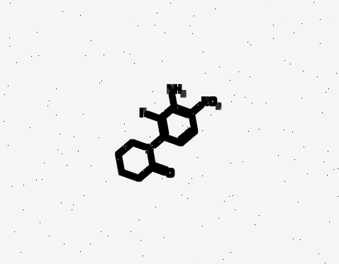 Nc1c([N+](=O)[O-])ccc(N2CCCCC2=O)c1F